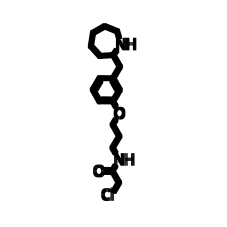 O=C(CCl)NCCCOc1cccc(CC2CCCCCN2)c1